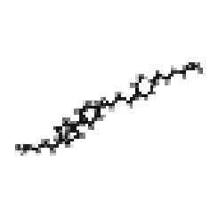 CCCCCC1CCC(CCCOc2ccc(C34CCC(CCCC)(CC3)CC4)cc2)CC1